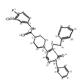 O=C(Nc1ccc(F)c(Cl)c1)N1CCN(c2cnn(-c3ccccc3)c(=O)c2OCc2ccccc2)CC1